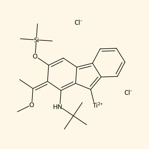 COC(C)=c1c(O[Si](C)(C)C)cc2c(c1NC(C)(C)C)[C]([Ti+2])=c1ccccc1=2.[Cl-].[Cl-]